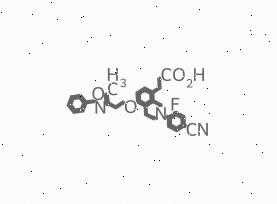 Cc1oc(-c2ccccc2)nc1CCOc1ccc(CCC(=O)O)c2c1CCN(c1ccc(C#N)cc1F)C2